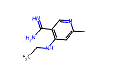 Cc1cc(NCC(F)(F)F)c(C(=N)N)cn1